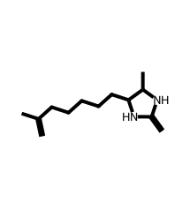 C=C(C)CCCCCC1NC(=C)NC1C